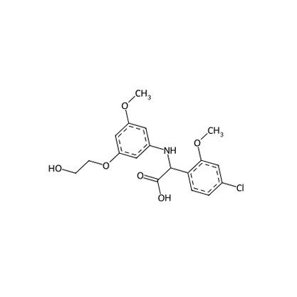 COc1cc(NC(C(=O)O)c2ccc(Cl)cc2OC)cc(OCCO)c1